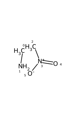 CN.C[N+](=O)[O-]